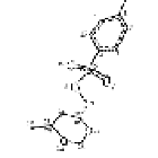 Cc1ccc(S(=O)(=O)OC[C@H]2C[C@H](C)OCO2)cc1